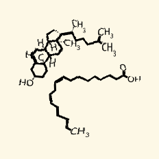 CC(C)CCC[C@@H](C)[C@H]1CC[C@H]2[C@@H]3CC=C4C[C@@H](O)CC[C@]4(C)[C@H]3CC[C@]12C.CCCCC/C=C\C/C=C\CCCCCCCC(=O)O